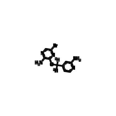 [2H]C([2H])(Oc1nc(Br)cnc1N)c1ccnc(N)c1